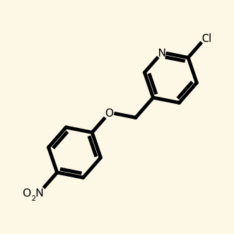 O=[N+]([O-])c1ccc(OCc2ccc(Cl)nc2)cc1